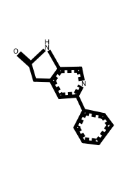 O=C1Cc2cc(-c3ccccc3)ncc2N1